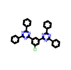 Clc1cc(-c2nc(-c3ccccc3)nc(-c3ccccc3)n2)cc(-c2nc(-c3ccccc3)nc(-c3ccccc3)n2)c1